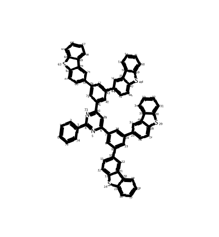 c1ccc(-c2nc(-c3cc(-c4ccc5sc6ccccc6c5c4)cc(-c4ccc5sc6ccccc6c5c4)c3)cc(-c3cc(-c4ccc5sc6ccccc6c5c4)cc(-c4ccc5sc6ccccc6c5c4)c3)n2)cc1